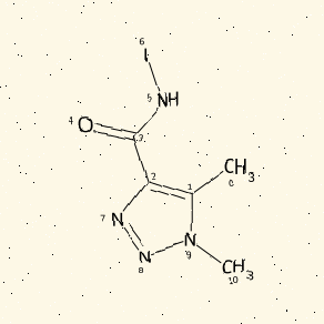 Cc1c(C(=O)NI)nnn1C